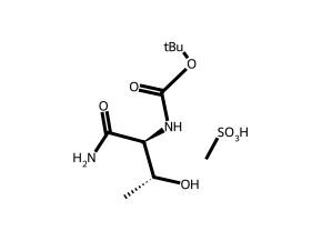 CS(=O)(=O)O.C[C@@H](O)[C@H](NC(=O)OC(C)(C)C)C(N)=O